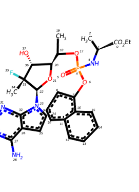 CCOC(=O)[C@H](C)NP(=O)(Oc1cccc2ccccc12)OC(C)[C@H]1O[C@@H](n2ccc3c(N)ncnc32)[C@](C)(F)[C@@H]1O